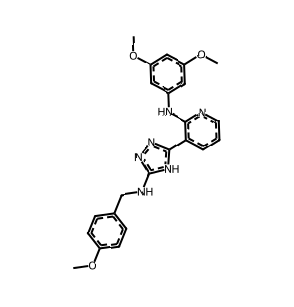 COc1ccc(CNc2nnc(-c3cccnc3Nc3cc(OC)cc(OC)c3)[nH]2)cc1